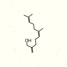 C=C(CO)CCC=C(C)CCC=C(C)C